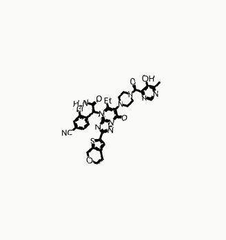 CCc1c(N2CCN(C(=O)c3ncnc(C)c3O)CC2)c(=O)n2nc(-c3cc4c(s3)COCC4)nc2n1C(C(N)=O)c1ccc(C#N)cc1Cl